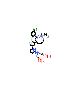 Cc1nccccc(-c2cncc(-c3cccc(N(CCO)CCCO)n3)c2)cc(-c2cc(Cl)ccc2F)n1